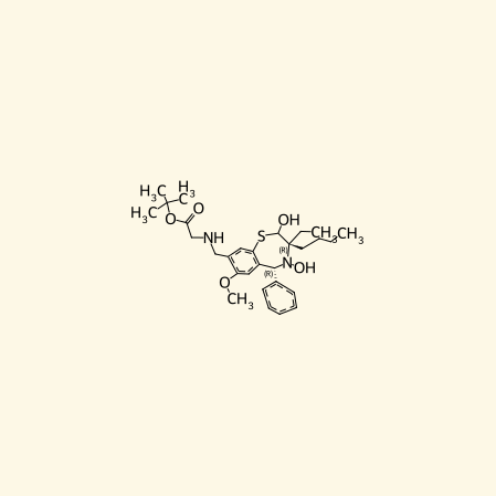 CCCC[C@]1(CC)C(O)Sc2cc(CNCC(=O)OC(C)(C)C)c(OC)cc2[C@@H](c2ccccc2)N1O